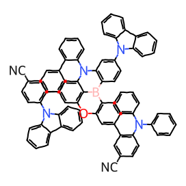 N#Cc1ccc(N(c2ccccc2)c2ccccc2)c(-c2ccc3c(c2)Oc2cc(-c4cc(C#N)ccc4-n4c5ccccc5c5ccccc54)cc4c2B3c2ccc(-n3c5ccccc5c5ccccc53)cc2N4c2ccccc2-c2ccccc2)c1